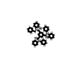 c1ccc(Cn2c(-c3cc(-c4nc5ccccc5n4-c4ccccc4)cc(-c4nc5ccccc5n4-c4ccccc4)c3)nc3ccccc32)cc1